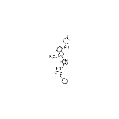 CN1CCC(Nc2cccc3c2cc(-c2noc(CNC(=O)OCc4ccccc4)n2)n3CC(F)(F)F)CC1